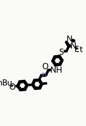 CCCCOc1ccc(-c2ccc(C)c(/C=C/C(=O)Nc3ccc(SCc4cncn4CC)cc3)c2)cc1